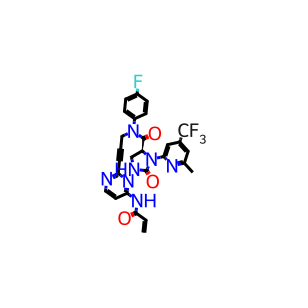 C=CC(=O)Nc1ccnc(C#CCN(C(=O)[C@@H]2CNC(=O)N2c2cc(C(F)(F)F)cc(C)n2)c2ccc(F)cc2)n1